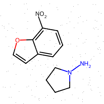 NN1CCCC1.O=[N+]([O-])c1cccc2ccoc12